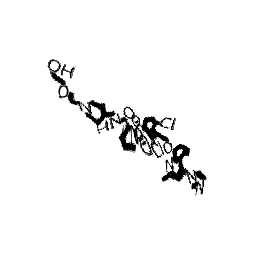 Cc1cc(-n2ccnc2)c2cccc(OCc3c(Cl)ccc(S(=O)(=O)N4CCC[C@H]4C(=O)NCC4CCN(CCOCCO)CC4)c3Cl)c2n1